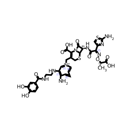 C[C@H](O/N=C(\C(=O)N[C@@H]1C(=O)N2C(C(=O)O)=C(C[N+]3=C/C(NCCNC(=O)c4ccc(O)c(O)c4)=C(N)\C=C\C=C\3)CSC12)c1csc(N)n1)C(=O)O